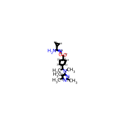 Cc1nc(C)c(C)c(N(C)C(C)c2ccc(C(=O)O/N=C(\N)C3CC3)cc2)n1